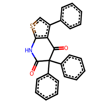 O=C1Nc2scc(-c3ccccc3)c2C(=O)C1(c1ccccc1)c1ccccc1